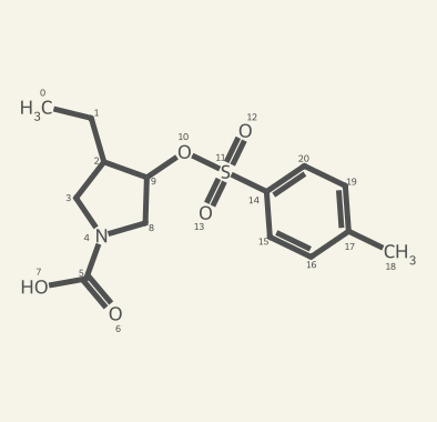 CCC1CN(C(=O)O)CC1OS(=O)(=O)c1ccc(C)cc1